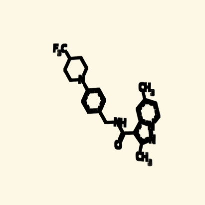 Cc1ccn2nc(C)c(C(=O)NCc3ccc(N4CCC(C(F)(F)F)CC4)cc3)c2c1